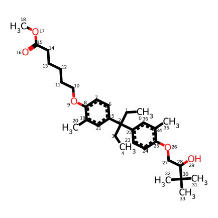 CCC(CC)(c1ccc(OCCCCCC(=O)OC)c(C)c1)c1ccc(OCC(O)C(C)(C)C)c(C)c1